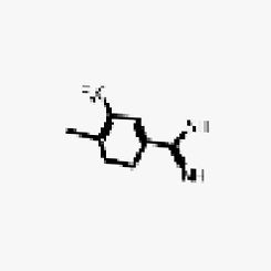 CC1=C(C(F)(F)F)C=C(C(=N)S)CC1